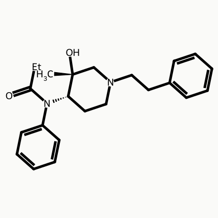 CCC(=O)N(c1ccccc1)[C@H]1CCN(CCc2ccccc2)C[C@@]1(C)O